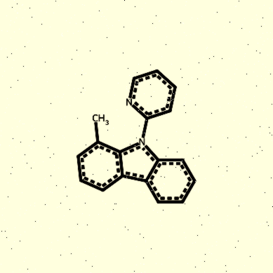 Cc1cccc2c3ccccc3n(-c3ccccn3)c12